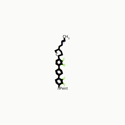 C/C=C/CCC1CCC(c2ccc(-c3ccc(-c4ccc(CCCCC)c(F)c4F)cc3)c(F)c2F)CC1